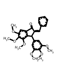 COc1cc(C2/C(=C/c3ccccc3)C(=O)c3cc(OC)c(OC)c(OC)c32)cc(OC)c1OC